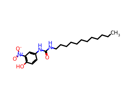 CCCCCCCCCCCCNC(=O)Nc1ccc(O)c([N+](=O)[O-])c1